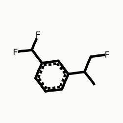 C[C](CF)c1cccc(C(F)F)c1